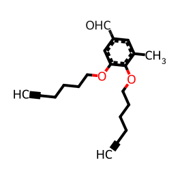 C#CCCCCOc1cc(C=O)cc(C)c1OCCCCC#C